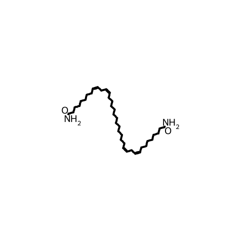 NC(=O)CCCCCCC/C=C\C/C=C\CCCCCCCCCCCC/C=C\C/C=C\CCCCCCCC(N)=O